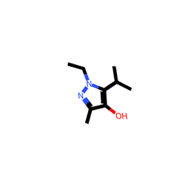 CCn1nc(C)c(O)c1C(C)C